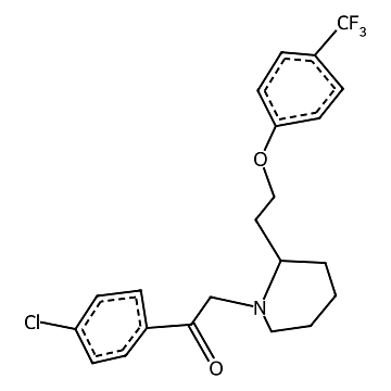 O=C(CN1CCCCC1CCOc1ccc(C(F)(F)F)cc1)c1ccc(Cl)cc1